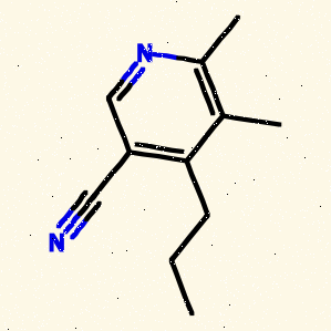 CCCc1c(C#N)cnc(C)c1C